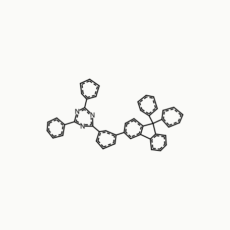 c1ccc(-c2nc(-c3ccccc3)nc(-c3cccc(-c4ccc5c(c4)-c4ccccc4C5(c4ccccc4)c4ccccc4)c3)n2)cc1